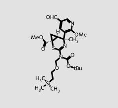 COC(=O)[C@]12C[C@H]1[C@@](C)(c1cc(C=O)cnc1OC)N=C(N(COCC[Si](C)(C)C)C(=O)OC(C)(C)C)S2